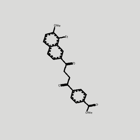 CCc1c(OC)ccc2ccc(C(=O)CCC(=O)c3ccc(C(=O)OC)cc3)cc12